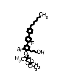 CCCCCCCc1ccc(-c2ccc(-c3cc(Br)c(OCC4(CC)COC(C)(C)OC4)c(CCCO)c3)c(F)c2)cc1